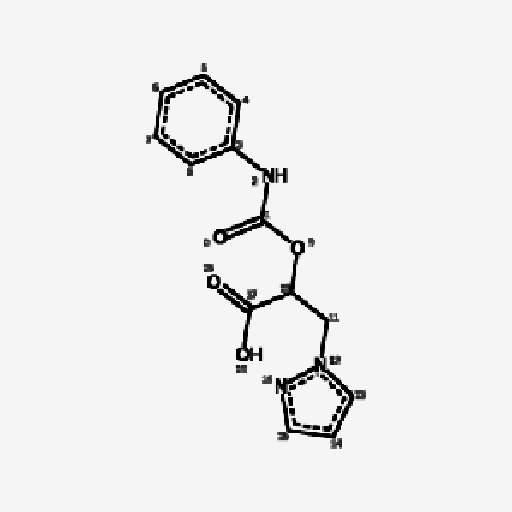 O=C(Nc1ccccc1)OC(Cn1cccn1)C(=O)O